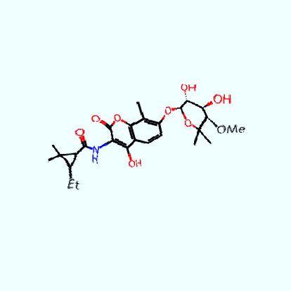 CCC1C(C(=O)Nc2c(O)c3ccc(O[C@@H]4OC(C)(C)[C@H](OC)[C@H](O)[C@H]4O)c(C)c3oc2=O)C1(C)C